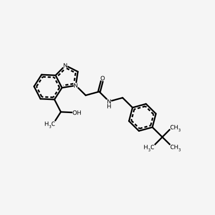 CC(O)c1cccc2ncn(CC(=O)NCc3ccc(C(C)(C)C)cc3)c12